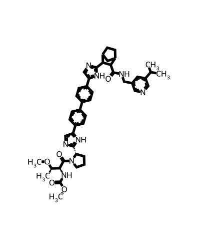 COC(=O)N[C@H](C(=O)N1CCC[C@H]1c1ncc(-c2ccc(-c3ccc(-c4cnc(C5C6CCC(C6)C5C(=O)NCc5cncc(C(C)C)c5)[nH]4)cc3)cc2)[nH]1)[C@@H](C)OC